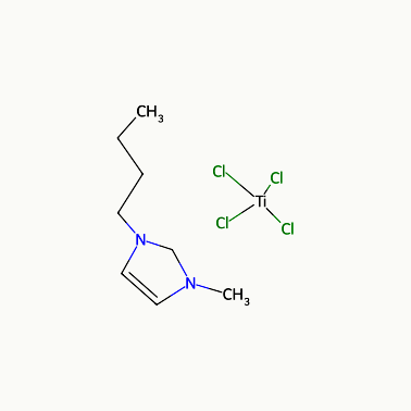 CCCCN1C=CN(C)C1.[Cl][Ti]([Cl])([Cl])[Cl]